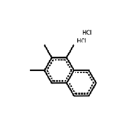 Cc1cc2ccccc2c(C)c1C.Cl.Cl